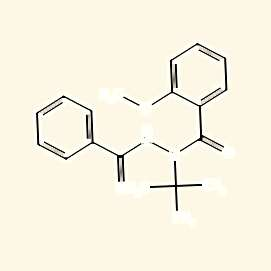 COc1ccccc1C(=O)N(NC(=O)c1ccccc1)C(C)(C)C